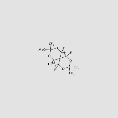 COC1(C(F)(F)F)OC(F)(F)C2(C(F)(F)OC(C)(C(F)(F)F)OC2(F)F)C(F)(F)O1